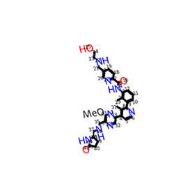 COc1nc(-c2ccnc(-c3cccc(NC(=O)c4ccc(CNCCO)cn4)c3C)c2C)cnc1CNC[C@H]1CCC(=O)N1